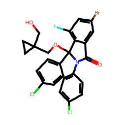 O=C1c2cc(Br)cc(F)c2C(OCC2(CO)CC2)(c2ccc(Cl)cc2)N1c1ccc(Cl)cc1